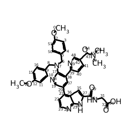 COc1ccc(CN(Cc2ccc(OC)cc2)c2ncc(-c3ccnc4[nH]c(C(=O)NCC(=O)O)cc34)cc2-c2ccc(C(=O)N(C)C)cn2)cc1